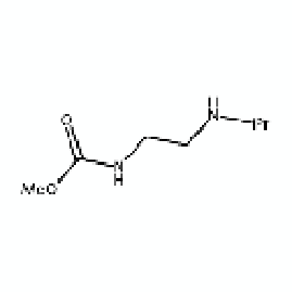 COC(=O)NCCNC(C)C